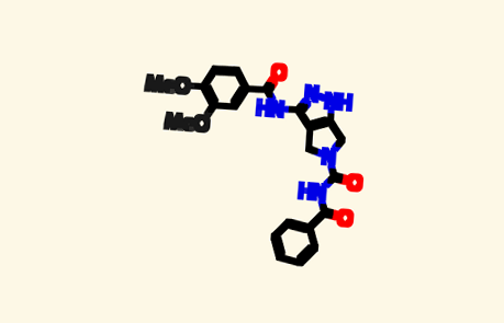 COc1ccc(C(=O)Nc2n[nH]c3c2CN(C(=O)NC(=O)c2ccccc2)C3)cc1OC